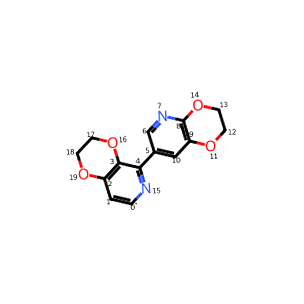 [c]1cc2c(c(-c3cnc4c(c3)OCCO4)n1)OCCO2